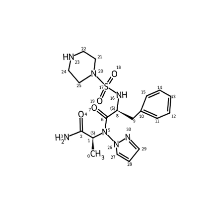 C[C@@H](C(N)=O)N(C(=O)[C@H](Cc1ccccc1)NS(=O)(=O)N1CCNCC1)n1cccn1